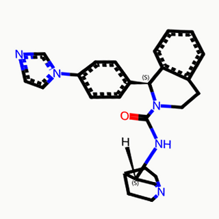 O=C(N[C@@H]1CN2CCC1CC2)N1CCc2ccccc2[C@@H]1c1ccc(-n2ccnc2)cc1